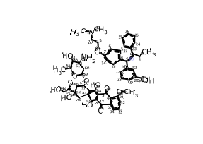 CC/C(=C(/c1ccc(OCCN(C)C)cc1)c1cccc(O)c1)c1ccccc1.COc1cccc2c1C(=O)c1c(O)c3c(c(O)c1C2=O)C[C@@](O)(C(=O)CO)C[C@@H]3O[C@H]1C[C@H](N)[C@H](O)[C@H](C)O1